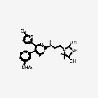 CC(=O)Nc1cccc(-c2cnc(NCCN3C(O)NC(O)C3(C)C)nc2-c2ccc(Cl)s2)c1